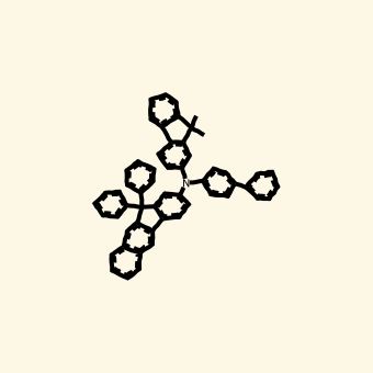 CC1(C)c2ccccc2-c2ccc(N(c3ccc(-c4ccccc4)cc3)c3ccc4c(c3)C(c3ccccc3)(c3ccccc3)c3cc5ccccc5cc3-4)cc21